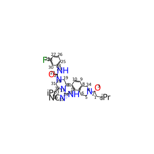 CC(C)CC(=O)N1CCc2c(cccc2N/C(=N/C#N)N2CCN(C(=O)Nc3cccc(F)c3)CC2C(C)C)C1